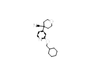 N#CC1(c2ccnc(OCC3CCCCC3)c2)CCOCC1